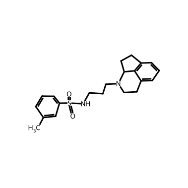 Cc1cccc(S(=O)(=O)NCCCN2CCc3cccc4c3C2CC4)c1